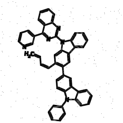 C=C/C=C\c1cc2c(cc1-c1ccc3c(c1)c1ccccc1n3-c1ccccc1)c1ccccc1n2-c1nc(-c2cccnc2)c2ccccc2n1